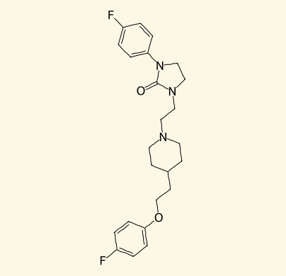 O=C1N(CCN2CCC(CCOc3ccc(F)cc3)CC2)CCN1c1ccc(F)cc1